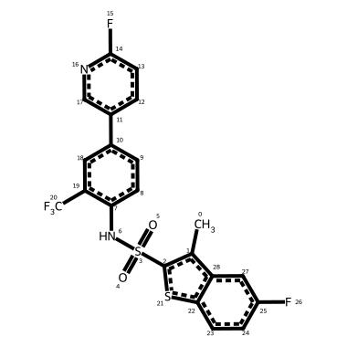 Cc1c(S(=O)(=O)Nc2ccc(-c3ccc(F)nc3)cc2C(F)(F)F)sc2ccc(F)cc12